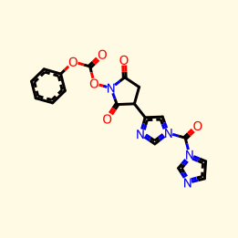 O=C(Oc1ccccc1)ON1C(=O)CC(c2cn(C(=O)n3ccnc3)cn2)C1=O